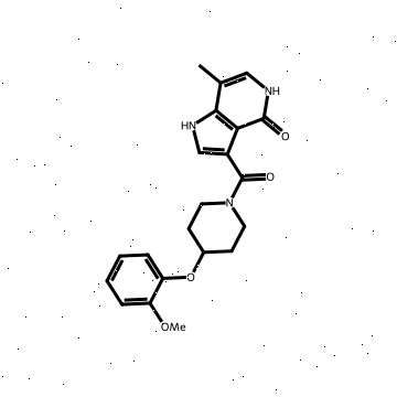 COc1ccccc1OC1CCN(C(=O)c2c[nH]c3c(C)c[nH]c(=O)c23)CC1